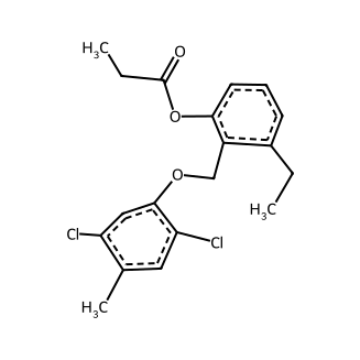 CCC(=O)Oc1cccc(CC)c1COc1cc(Cl)c(C)cc1Cl